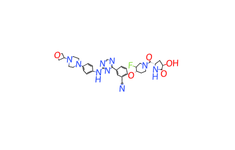 N#Cc1cc(-c2ncnc(Nc3ccc(N4CCN(C5COC5)CC4)cc3)n2)ccc1O[C@H]1CCN(C(=O)[C@@H]2C[C@@H](O)C(=O)N2)C[C@@H]1F